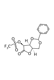 O=C1O[C@@H]2COC(c3ccccc3)O[C@@H]2[C@@H]1OS(=O)(=O)C(F)(F)F